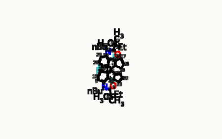 CCCCN(C(=O)C(C)(C)CC)c1ccc(F)[c]([Ti]([C]2=CC=CC2)([C]2=CC=CC2)[c]2c(F)ccc(N(CCCC)C(=O)C(C)(C)CC)c2F)c1F